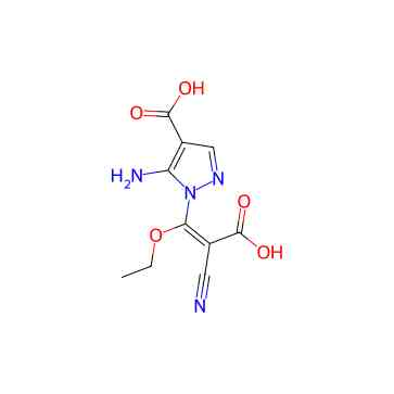 CCOC(=C(C#N)C(=O)O)n1ncc(C(=O)O)c1N